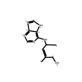 C/C(=C/C(C)Nc1ncnc2nc[nH]c12)CO